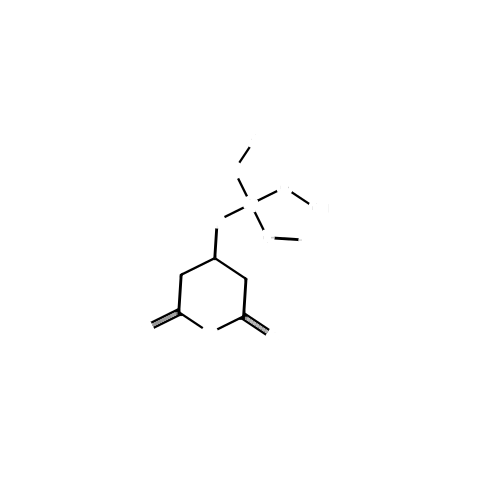 CO[Si](OC)(OC)OC1CC(=O)OC(=O)C1